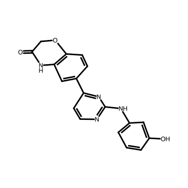 O=C1COc2ccc(-c3ccnc(Nc4cccc(O)c4)n3)cc2N1